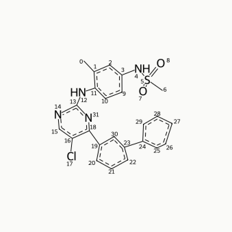 Cc1cc(NS(C)(=O)=O)ccc1Nc1ncc(Cl)c(-c2cccc(-c3ccccc3)c2)n1